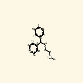 COCCSC(c1ccccc1)c1ccncc1